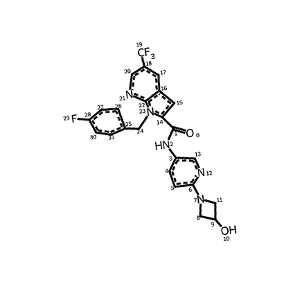 O=C(Nc1ccc(N2CC(O)C2)nc1)c1cc2cc(C(F)(F)F)cnc2n1Cc1ccc(F)cc1